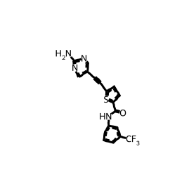 Nc1ncc(C#Cc2ccc(C(=O)Nc3cccc(C(F)(F)F)c3)s2)cn1